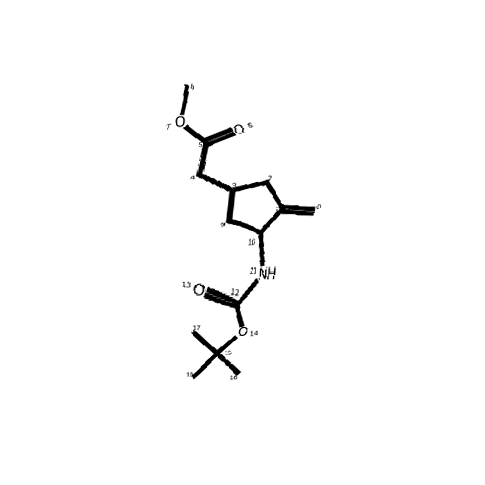 C=C1CC(CC(=O)OC)CC1NC(=O)OC(C)(C)C